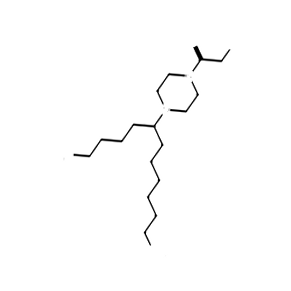 CCCCCCCC(CCCCC)N1CCN(C(=O)CO)CC1